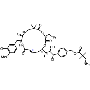 COc1ccc(C[C@@H]2NC(=O)/C=C/C[C@H]([C@H](C)C(O)C(Cl)c3ccc(COC(=O)C(C)(C)CN)cc3)OC(=O)[C@H](CC(C)C)OC(=O)C(C)(C)CNC2=O)cc1Cl